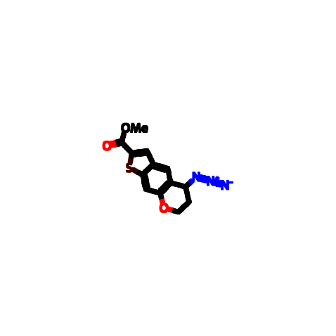 COC(=O)c1cc2cc3c(cc2s1)OCCC3N=[N+]=[N-]